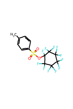 Cc1ccc(S(=O)(=O)OC2(F)C(F)(F)C(F)(F)C(F)(F)C(F)(F)C2(F)F)cc1